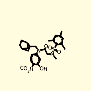 Cc1cc(C)c(S(=O)(=O)N(C)CC(=O)N(CC2CC3CCC2C3)c2ccc(C(=O)O)c(O)c2)c(C)c1